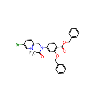 O=C(OCc1ccccc1)c1ccc(N(Cc2ccc(Br)cn2)C(=O)C(F)(F)F)cc1OCc1ccccc1